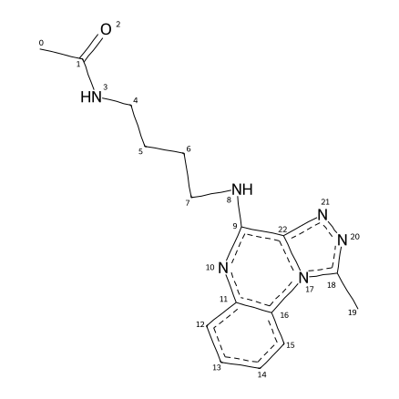 CC(=O)NCCCCNc1nc2ccccc2n2c(C)nnc12